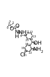 CC(C)(C)OC(=O)NNCc1cccc(C(O)c2ccc(Cl)cc2N)c1